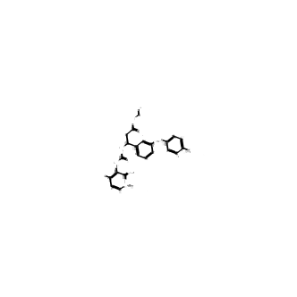 CCOC(=O)CC(NC(=O)Nc1c(O)ccn(C)c1=O)c1cccc(Oc2ccc(C)cc2)c1